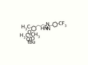 Cc1cc(CCCc2nc(-c3ccc(C(F)(F)F)cc3)n[nH]2)ccc1OC(C)(C)C(=O)OC(C)(C)C